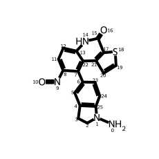 NN1CCc2cc(-c3c(N=O)ccc4[nH]c(=O)c5sccc5c34)ccc21